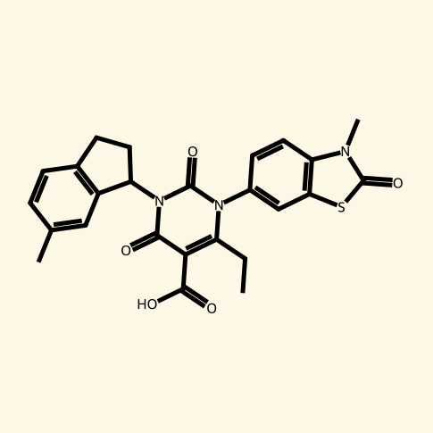 CCc1c(C(=O)O)c(=O)n(C2CCc3ccc(C)cc32)c(=O)n1-c1ccc2c(c1)sc(=O)n2C